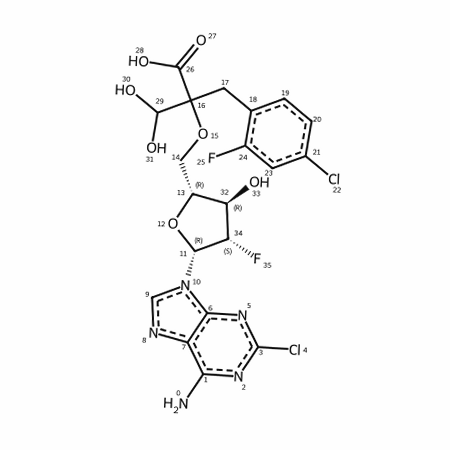 Nc1nc(Cl)nc2c1ncn2[C@@H]1O[C@H](COC(Cc2ccc(Cl)cc2F)(C(=O)O)C(O)O)[C@@H](O)[C@@H]1F